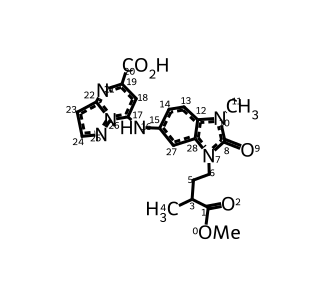 COC(=O)C(C)CCn1c(=O)n(C)c2ccc(Nc3cc(C(=O)O)nc4ccnn34)cc21